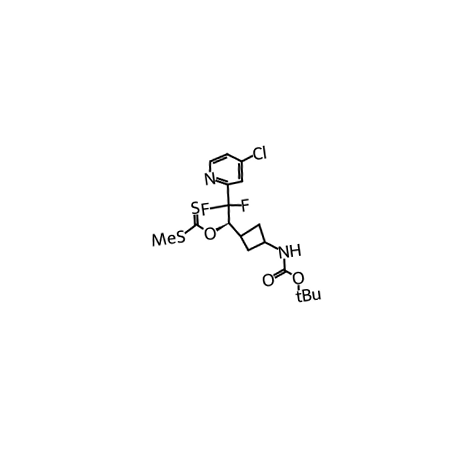 CSC(=S)O[C@H](C1CC(NC(=O)OC(C)(C)C)C1)C(F)(F)c1cc(Cl)ccn1